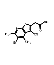 CCc1c(C)nc2sc(CC(=O)C(C)(C)C)c(C#N)c2c1C